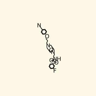 N#Cc1ccc(OCCCN2CC3CN(CCNS(=O)(=O)c4cccc(F)c4)CC(C2)O3)cc1